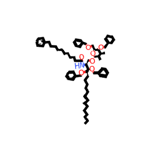 CCCCCCCCCCCCCC[C@@H](OCc1ccccc1)[C@@H](OCc1ccccc1)[C@H](COC1OC(COCc2ccccc2)C(OCc2ccccc2)C(C)C1C)NC(=O)CCCCCCCCCCC12CCC(CC1)CC2